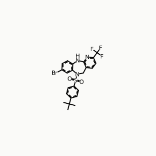 CC(C)(C)c1ccc(S(=O)(=O)N2Cc3ccc(C(F)(F)F)nc3Nc3ccc(Br)cc32)cc1